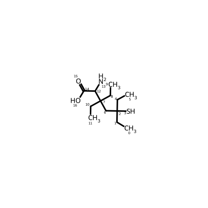 CCC(S)(CC)CC(CC)(CC)C(N)C(=O)O